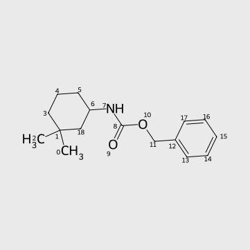 CC1(C)CCCC(NC(=O)OCc2ccccc2)C1